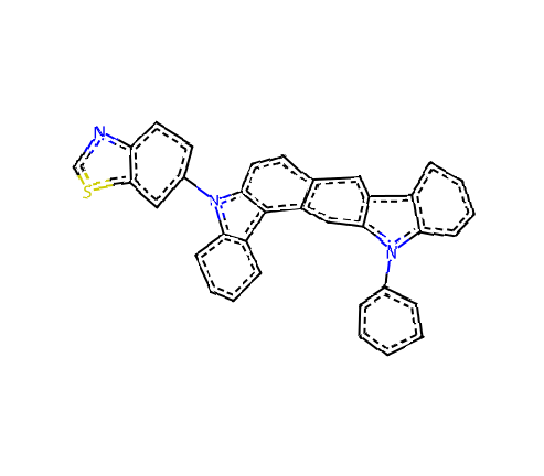 c1ccc(-n2c3ccccc3c3cc4ccc5c(c4cc32)c2ccccc2n5-c2ccc3ncsc3c2)cc1